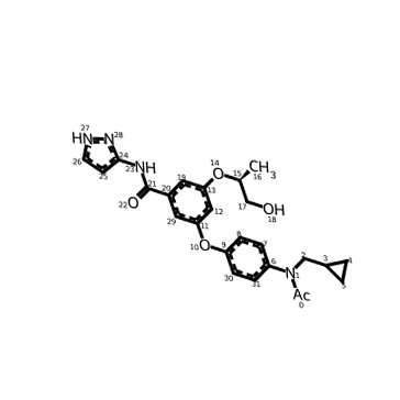 CC(=O)N(CC1CC1)c1ccc(Oc2cc(O[C@@H](C)CO)cc(C(=O)Nc3cc[nH]n3)c2)cc1